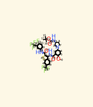 COc1ccc(N2CCC(NC(=O)OC(C)(C)C)C2)cc1C(=O)Nc1c(C(=O)Nc2ccc(F)c(C(F)(F)F)c2)sc2cc(C(F)(F)F)ccc12